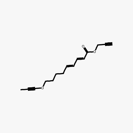 C#CCOC(=O)C=CC=CCCCCOC#CC